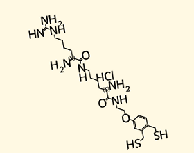 Cl.N=C(N)NCCCC[C@H](N)C(=O)NCCCC[C@H](N)C(=O)NCCOc1ccc(CS)c(CS)c1